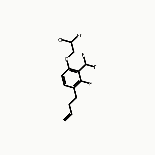 C=CCCc1ccc(OCC(Cl)CC)c(C(F)F)c1F